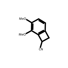 COc1ccc2c(c1OC)C(C#N)C2